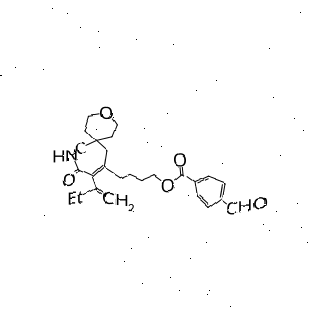 C=C(CC)C1=C(CCCCOC(=O)c2ccc(C=O)cc2)CC2(CCOCC2)CNC1=O